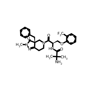 CN1N=C2CCN(C(=O)[C@@H](COc3ccccc3C(F)(F)F)NC(=O)C(C)(C)N)C[C@@]2(Cc2ccccc2)C1=O